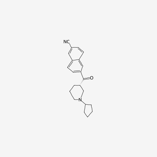 N#Cc1ccc2cc(C(=O)[C@H]3CCCN(C4CCCC4)C3)ccc2c1